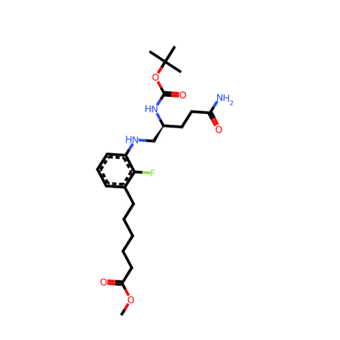 COC(=O)CCCCCc1cccc(NC[C@H](CCC(N)=O)NC(=O)OC(C)(C)C)c1F